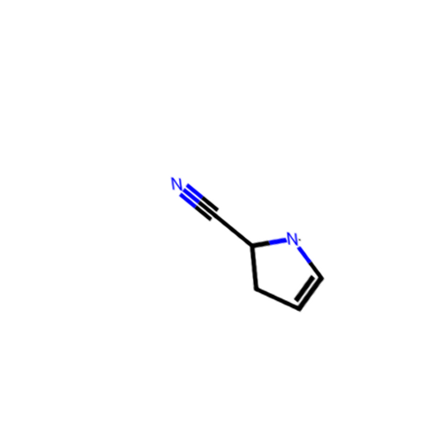 N#CC1CC=C[N]1